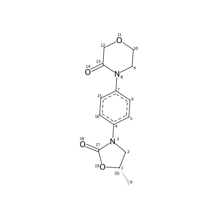 [CH2][C@H]1CN(c2ccc(N3CCOCC3=O)cc2)C(=O)O1